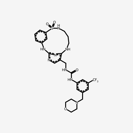 O=C(NCc1cnc2nc1NCCCNS(=O)(=O)c1cccc(c1)N2)Nc1cc(CN2CCOCC2)cc(C(F)(F)F)c1